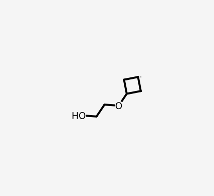 OCCOC1C[CH]C1